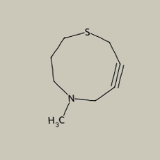 CN1CC#CCSCCC1